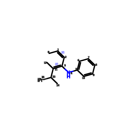 C/C=C\C(Nc1ccccc1)=C(/C)C(C)C(C)C